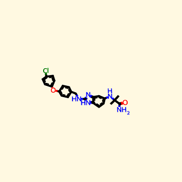 CC(C)(Nc1ccc2[nH]c(NCc3ccc(Oc4ccc(Cl)cc4)cc3)nc2c1)C(N)=O